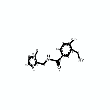 CC(C)Cc1cc(C(=O)NCc2nccn2C)ccc1C(C)C